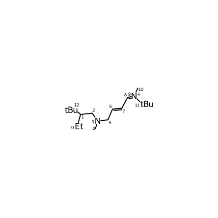 CCC(CN(C)CC=C/C=[N+](/C)C(C)(C)C)C(C)(C)C